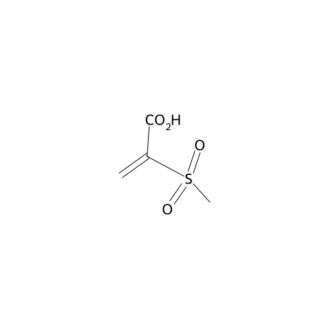 C=C(C(=O)O)S(C)(=O)=O